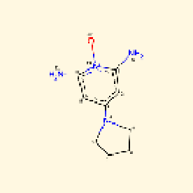 Nc1cc(N2CCCC2)cc(N)[n+]1[O-]